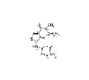 CON(C)C(=O)c1csc(Nc2ccc(Cl)cc2)n1